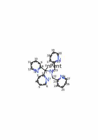 CCCCCC(c1ccccn1)(c1ccccn1)N(Cc1ccccn1)Cc1ccccn1